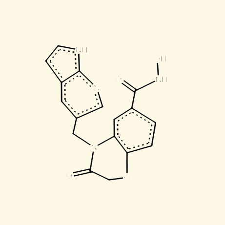 O=C(NO)c1ccc2c(c1)N(Cc1cnc3[nH]ccc3c1)C(=O)CO2